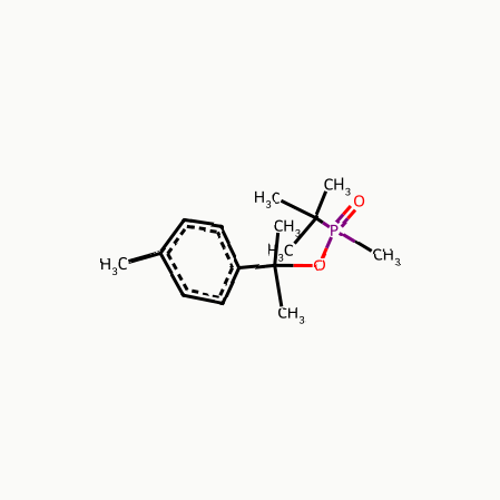 Cc1ccc(C(C)(C)OP(C)(=O)C(C)(C)C)cc1